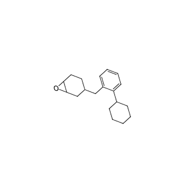 c1ccc(C2CCCCC2)c(CC2CCC3OC3C2)c1